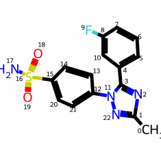 Cc1nc(-c2cccc(F)c2)n(-c2ccc(S(N)(=O)=O)cc2)n1